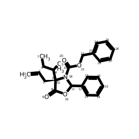 C=CC[C@]1(C(C)CC)C(=O)OC(c2ccccc2)N1C(=O)OCc1ccccc1